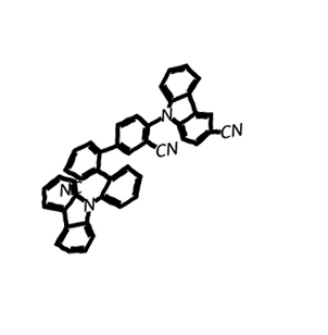 N#Cc1ccc2c(c1)c1ccccc1n2-c1ccc(-c2cccc(C#N)c2-c2ccccc2-n2c3ccccc3c3ccccc32)cc1C#N